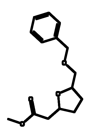 COC(=O)CC1CCC(COCc2ccccc2)O1